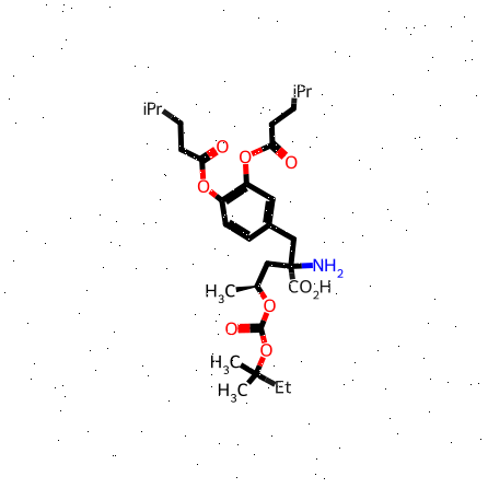 CCC(C)(C)OC(=O)O[C@@H](C)CC(N)(Cc1ccc(OC(=O)CCC(C)C)c(OC(=O)CCC(C)C)c1)C(=O)O